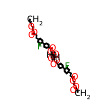 C=CCOCCOC(=O)CCc1ccc(-c2ccc(C(=O)O[C@H]3CO[C@H]4[C@@H]3OC[C@H]4OC(=O)c3ccc(-c4ccc(CCC(=O)OCCOC(=O)C=C)cc4F)cc3)cc2)c(F)c1